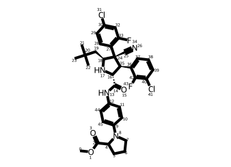 COC(=O)C1CCCN1c1ccc(NC(=O)[C@@H]2N[C@@H](CC(C)(C)C)[C@](C#N)(c3ccc(Cl)cc3F)[C@H]2c2cccc(Cl)c2F)cc1